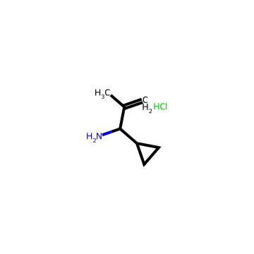 C=C(C)C(N)C1CC1.Cl